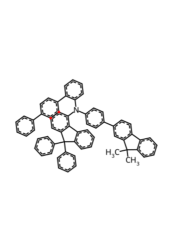 CC1(C)c2ccccc2-c2ccc(-c3ccc(N(c4ccccc4-c4ccc(-c5ccccc5)cc4)c4cccc5c4-c4ccccc4C5(c4ccccc4)c4ccccc4)cc3)cc21